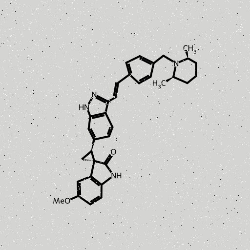 COc1ccc2c(c1)[C@]1(C[C@H]1c1ccc3c(C=Cc4ccc(CN5[C@H](C)CCC[C@@H]5C)cc4)n[nH]c3c1)C(=O)N2